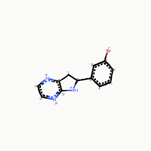 Brc1cccc(C2Cc3nccnc3N2)c1